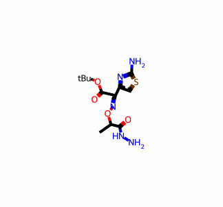 CC(ON=C(C(=O)OC(C)(C)C)c1csc(N)n1)C(=O)NN